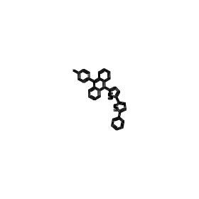 Cc1ccc(-c2c3ccccc3c(-c3ccc(-c4ccc(-c5ccccc5)s4)s3)c3ccccc23)cc1